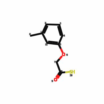 Cc1cc[c]c(OCC(=O)S)c1